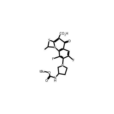 CC1Sc2c(C(=O)O)c(=O)c3cc(F)c(N4CCC(NC(=O)OC(C)(C)C)C4)c(F)c3n21